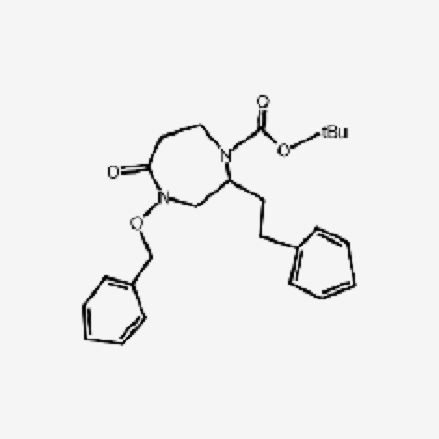 CC(C)(C)OC(=O)N1CCC(=O)N(OCc2ccccc2)CC1CCc1ccccc1